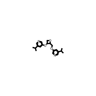 CC(C)c1cncc(OCC2OCC2Oc2cncc(C(C)C)c2)c1